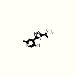 Cc1cc(-c2nsc(C(C)N)n2)ccn1.Cl